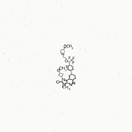 COC1CC(n2c(=O)n(C)c3nnc4ccc(-c5ccc(C(OCCN6CCC(OC)C6)C(F)(F)F)nc5)cc4c32)C1